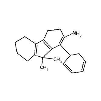 CC1(C)C2=C(CCCC2)C2=C1C(C1C=CC=CC1)=C(N)CC2